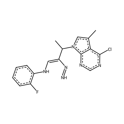 Cc1cn(C(C)/C(=C/Nc2ccccc2F)N=N)c2ncnc(Cl)c12